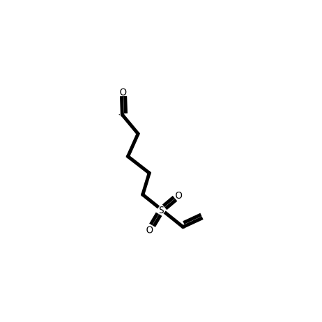 C=CS(=O)(=O)CCCC[C]=O